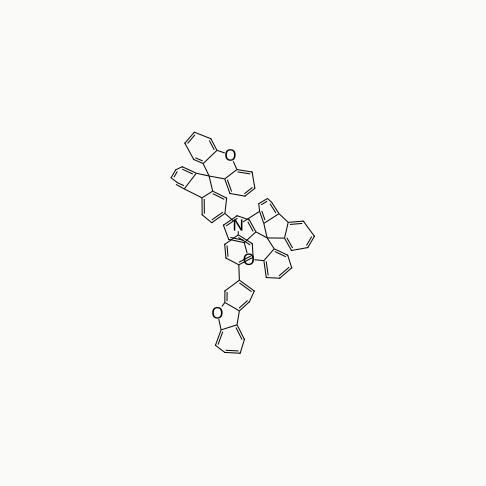 c1ccc2c(c1)Oc1ccccc1C21c2ccccc2-c2ccc(N(c3ccc(-c4ccc5c(c4)oc4ccccc45)cc3)c3cccc4c3C3(c5ccccc5Oc5ccccc53)c3ccccc3-4)cc21